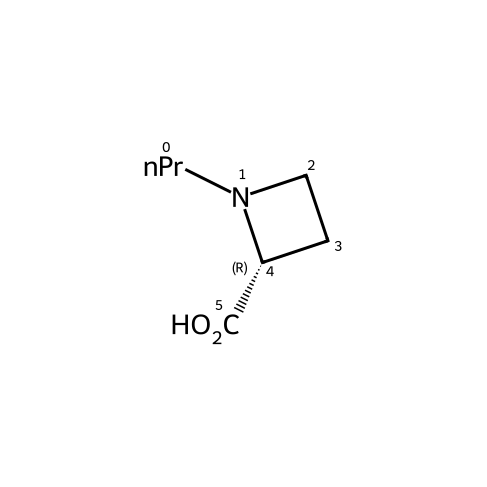 CCCN1CC[C@@H]1C(=O)O